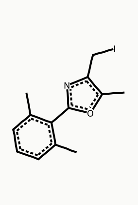 Cc1cccc(C)c1-c1nc(CI)c(C)o1